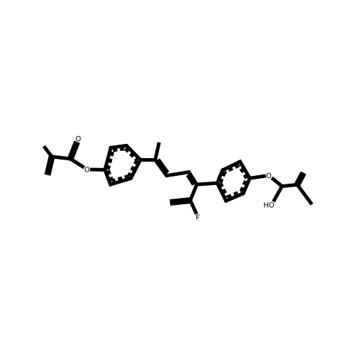 C=C(C)C(=O)Oc1ccc(/C(C)=C/C=C(\C(=C)F)c2ccc(OC(O)C(=C)C)cc2)cc1